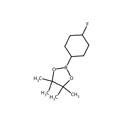 CC1(C)OB(C2CCC(F)CC2)OC1(C)C